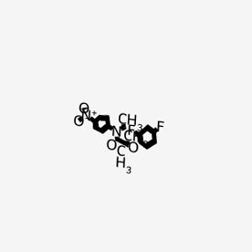 CCN(C(=O)C(C)(C)Oc1ccc(F)cc1F)c1ccc([N+](=O)[O-])cc1